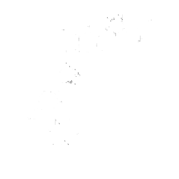 CC(C)N1CCN(c2cc(-c3cn(Cc4ccc(-c5nnc(C(F)F)o5)cc4F)nn3)ccc2F)CC1